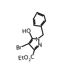 CCOC(=O)c1nn(Cc2ccccc2)c(O)c1Br